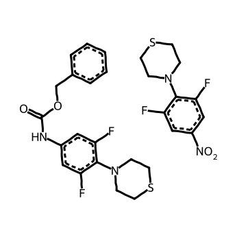 O=C(Nc1cc(F)c(N2CCSCC2)c(F)c1)OCc1ccccc1.O=[N+]([O-])c1cc(F)c(N2CCSCC2)c(F)c1